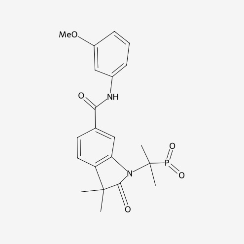 COc1cccc(NC(=O)c2ccc3c(c2)N(C(C)(C)P(=O)=O)C(=O)C3(C)C)c1